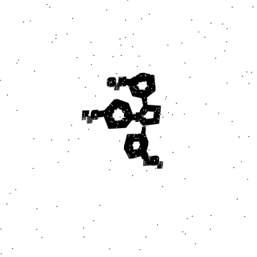 O=[N+]([O-])c1cccc([C@H]2CC[C@H](c3cccc([N+](=O)[O-])c3)N2c2ccc(C(F)(F)F)cc2)c1